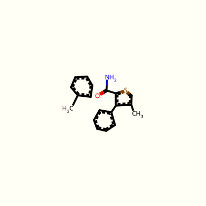 Cc1ccccc1.Cc1csc(C(N)=O)c1-c1ccccc1